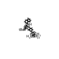 CC(C)(C)OC(=O)N1Cc2cc(B3OC(C)(C)C(C)(C)O3)ccc2CC1C(=O)N[C@@H]1CCCc2ccccc21